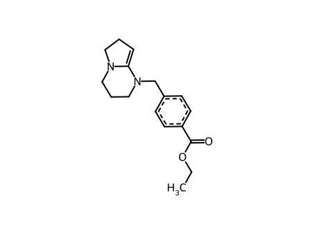 CCOC(=O)c1ccc(CN2CCCN3CCC=C32)cc1